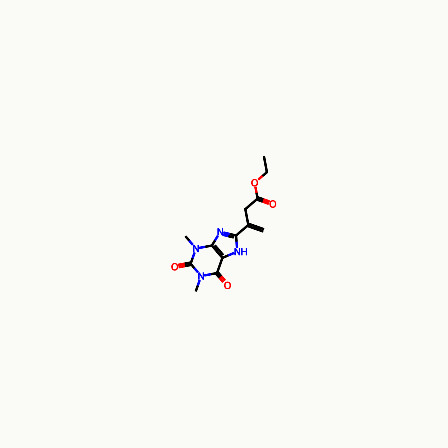 C=C(CC(=O)OCC)c1nc2c([nH]1)c(=O)n(C)c(=O)n2C